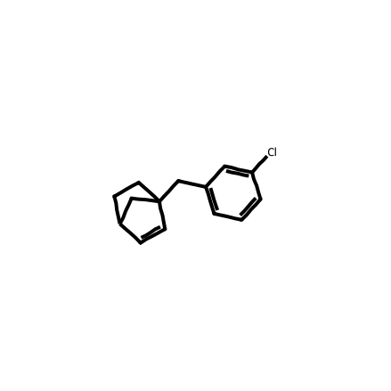 Clc1cccc(CC23C=CC(CC2)C3)c1